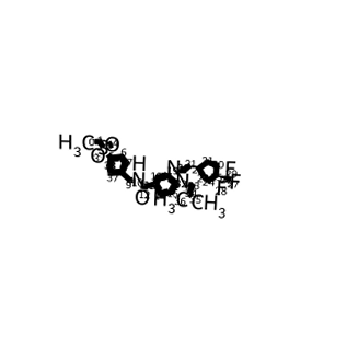 CCS(=O)(=O)c1ccc(CNC(=O)c2ccc3c(c2)nc(C[C@H]2CC[C@H](C(F)(F)F)CC2)n3CC(C)C)cc1